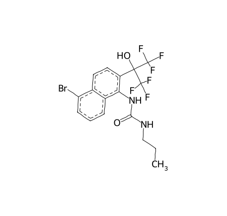 CCCNC(=O)Nc1c(C(O)(C(F)(F)F)C(F)(F)F)ccc2c(Br)cccc12